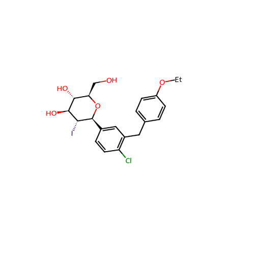 CCOc1ccc(Cc2cc([C@@H]3O[C@H](CO)[C@@H](O)[C@H](O)[C@H]3I)ccc2Cl)cc1